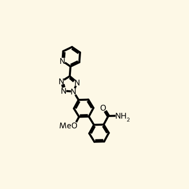 COc1cc(-n2nnc(-c3ccccn3)n2)ccc1-c1ccccc1C(N)=O